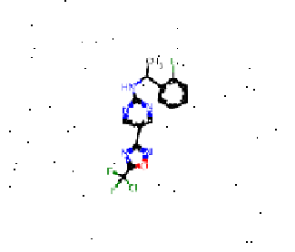 CC(Nc1ncc(-c2noc(C(F)(F)Cl)n2)cn1)c1ccccc1F